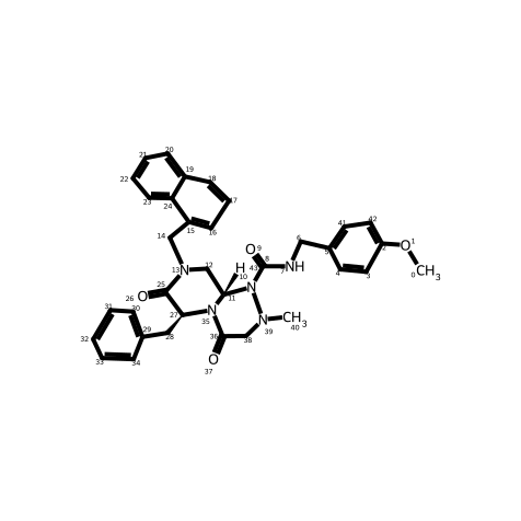 COc1ccc(CNC(=O)N2[C@H]3CN(Cc4cccc5ccccc45)C(=O)[C@H](Cc4ccccc4)N3C(=O)CN2C)cc1